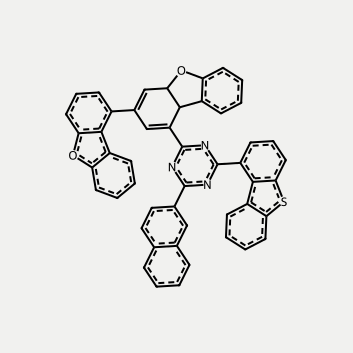 C1=C(c2cccc3oc4ccccc4c23)C=C(c2nc(-c3ccc4ccccc4c3)nc(-c3cccc4sc5ccccc5c34)n2)C2c3ccccc3OC12